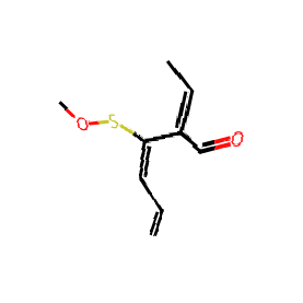 C=C/C=C(SOC)\C(C=O)=C/C